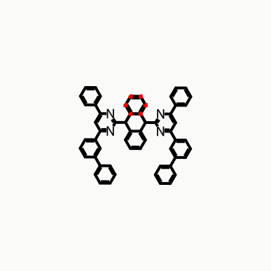 c1ccc(-c2cccc(-c3cc(-c4ccccc4)nc(C45c6ccccc6C(c6nc(-c7ccccc7)cc(-c7cccc(-c8ccccc8)c7)n6)(c6ccccc64)c4ccccc45)n3)c2)cc1